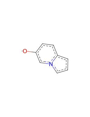 [O]c1ccc2cccn2c1